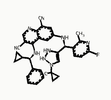 Cc1nc(F)ccc1[C@H](Nc1cc(C#N)c2ncc(C#N)c(N[C@@H](c3ccccc3)C3CC3)c2c1)C1=CN(C2(C(F)(F)F)CC2)NN1